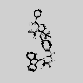 C[C@@H](C(=O)Nc1ccc(C[C@]2(C(C)(C)C)CC[C@H]([C@H](O)c3ccccc3)N2C(=O)O)cc1)N(C)C(=O)OC1c2ccccc2-c2ccccc21